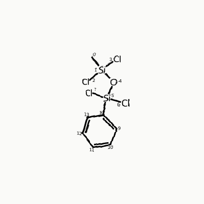 C[Si](Cl)(Cl)O[Si](Cl)(Cl)c1ccccc1